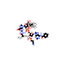 CC(C)C(=O)Nc1nc2c(ncn2[C@@H]2O[C@H](CO)[C@@H](O[Si](C)(C)C(C)(C)C)[C@H]2OP(=O)(O)OC[C@H]2O[C@@H](n3cnc4c(NC(=O)c5ccccc5)ncnc43)C[C@@H]2O[PH](=O)OCCC#N)c(=O)[nH]1